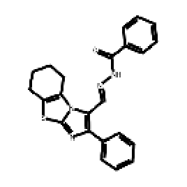 O=C(NN=Cc1c(-c2ccccc2)nc2sc3c(n12)CCCC3)c1ccccc1